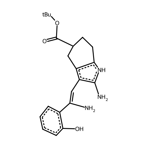 CC(C)(C)OC(=O)C1CCc2[nH]c(N)c(/C=C(\N)c3ccccc3O)c2C1